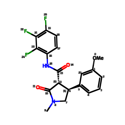 COc1cccc([C@H]2CN(C)C(=O)[C@@H]2C(=O)Nc2ccc(F)c(F)c2F)c1